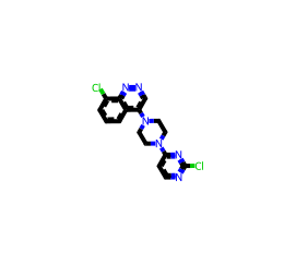 Clc1nccc(N2CCN(c3cnnc4c(Cl)cccc34)CC2)n1